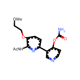 COCCOc1ccc(-c2cnccc2OC(N)=O)nc1NC(C)=O